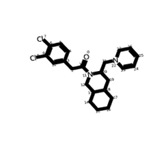 O=C(Cc1ccc(Cl)c(Cl)c1)N1CC2CCCCC2CC1CN1C=CC=CC1